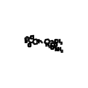 CC(C)(C[C@H]1CC[C@H](CCN2CCC(C(=O)c3sccc3Cl)CC2)CC1)OC(N)=O